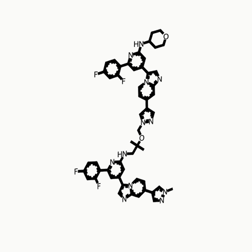 Cn1cc(-c2ccn3c(-c4cc(NCC(C)(C)OCn5cc(-c6ccn7c(-c8cc(NC9CCOCC9)nc(-c9ccc(F)cc9F)c8)cnc7c6)cn5)nc(-c5ccc(F)cc5F)c4)cnc3c2)cn1